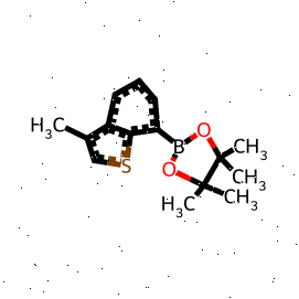 Cc1csc2c(B3OC(C)(C)C(C)(C)O3)cccc12